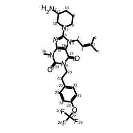 CC(C)=CCn1c(N2CCCC(N)C2)nc2c1c(=O)n(CCc1ccc(OC(F)(F)F)cc1)c(=O)n2C